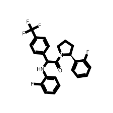 O=C(C(Nc1ccccc1F)c1ccc(C(F)(F)F)cc1)N1CCC[C@H]1c1ccccc1F